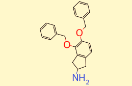 NC1Cc2ccc(OCc3ccccc3)c(OCc3ccccc3)c2C1